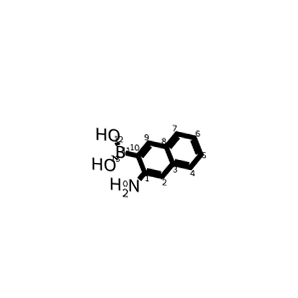 Nc1cc2ccccc2cc1B(O)O